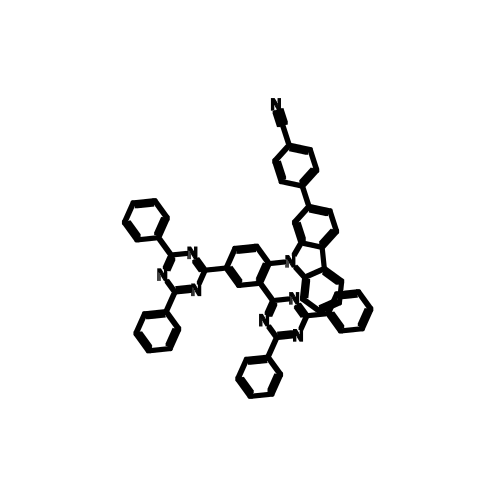 N#Cc1ccc(-c2ccc3c4ccccc4n(-c4ccc(-c5nc(-c6ccccc6)nc(-c6ccccc6)n5)cc4-c4nc(-c5ccccc5)nc(-c5ccccc5)n4)c3c2)cc1